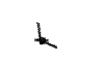 CCCCCCCCCCCCCCCC(O)C(O)C(CO)NC(=O)C(O)CCCCCCCCCCCCC